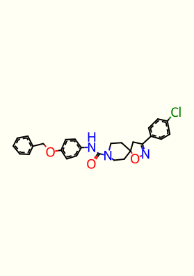 O=C(Nc1ccc(OCc2ccccc2)cc1)N1CCC2(CC1)CC(c1ccc(Cl)cc1)=NO2